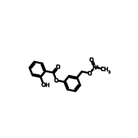 C[N+](=O)OCc1cccc(OC(=O)c2ccccc2O)c1